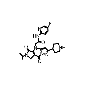 CC(C)N1Cc2c(n(CC(=O)Nc3ccc(F)cn3)c3cc(C4CCNCC4)nn3c2=O)C1=O